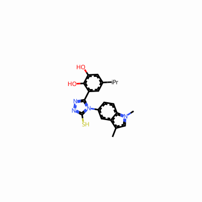 Cc1cn(C)c2ccc(-n3c(S)nnc3-c3cc(C(C)C)cc(O)c3O)cc12